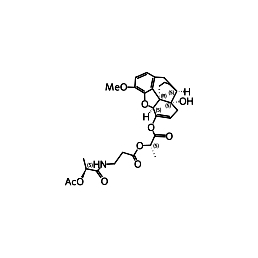 COc1ccc2c3c1O[C@@H]1C(OC(=O)[C@H](C)OC(=O)CCNC(=O)[C@H](C)OC(C)=O)=CC[C@]4(O)[C@@H](CCC[C@@]314)C2